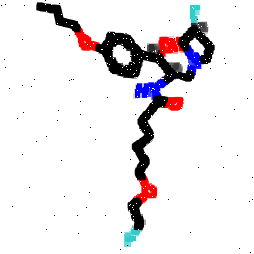 CCCCOc1ccc([C@@H](O)[C@@H](CN2CC[C@@H](F)C2)NC(=O)CCCCCOCCF)cc1